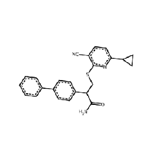 N#Cc1ccc(C2CC2)nc1SCC(C(N)=O)c1ccc(-c2ccccc2)cc1